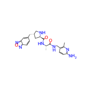 Cc1nc(N)ccc1CNC(=O)[C@H](C)NC(=O)[C@H]1C[C@H](Cc2ccc3nonc3c2)CN1